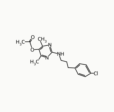 CC(=O)Oc1c(C)nc(NCCCc2ccc(Cl)cc2)nc1C